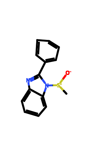 C[S+]([O-])n1c(-c2ccccc2)nc2ccccc21